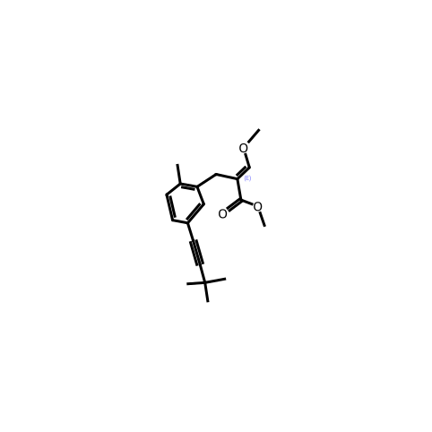 CO/C=C(\Cc1cc(C#CC(C)(C)C)ccc1C)C(=O)OC